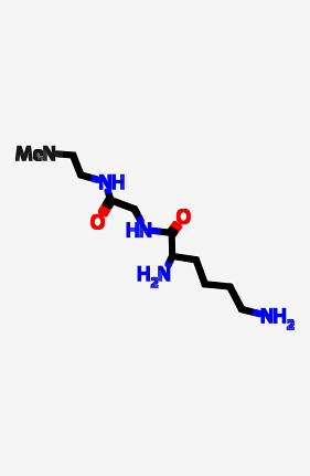 CNCCNC(=O)CNC(=O)C(N)CCCCN